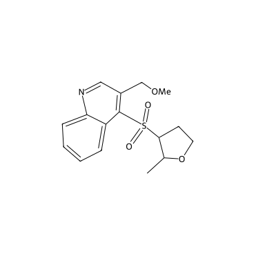 COCc1cnc2ccccc2c1S(=O)(=O)C1CCOC1C